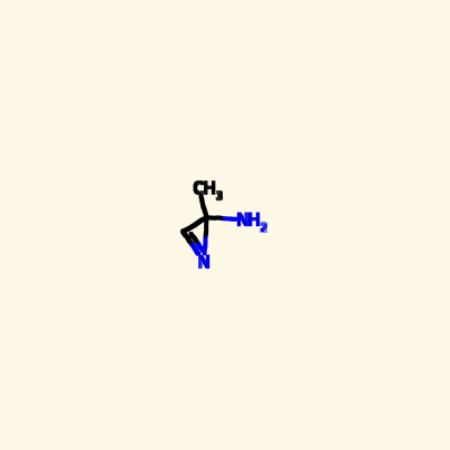 CC1(N)C=N1